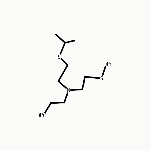 CC(C)CCN(CCSC(C)C)CCSC(C)I